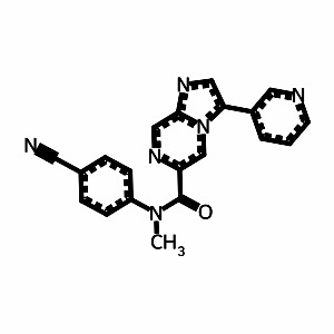 CN(C(=O)c1cn2c(-c3cccnc3)cnc2cn1)c1ccc(C#N)cc1